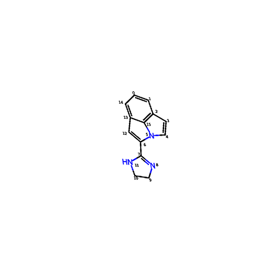 c1cc2ccn3c(C4=NCCN4)cc(c1)c23